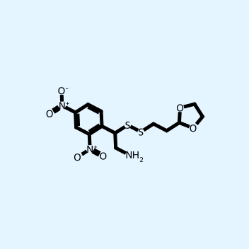 NCC(SSCCC1OCCO1)c1ccc([N+](=O)[O-])cc1[N+](=O)[O-]